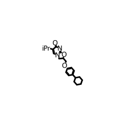 CC(C)c1cn2c(nc1=O)OC(COc1ccc(C3CCCCC3)cc1)C2